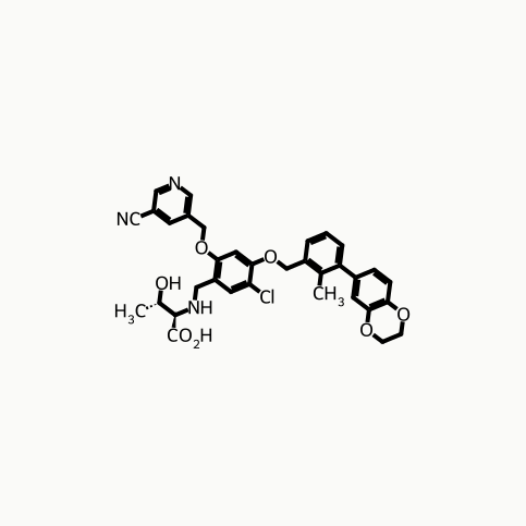 Cc1c(COc2cc(OCc3cncc(C#N)c3)c(CN[C@@H](C(=O)O)[C@H](C)O)cc2Cl)cccc1-c1ccc2c(c1)OCCO2